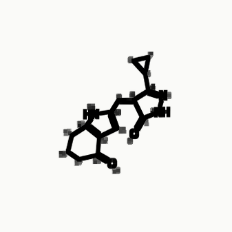 O=C1NN=C(C2CC2)C1=Cc1cc2c([nH]1)CCCC2=O